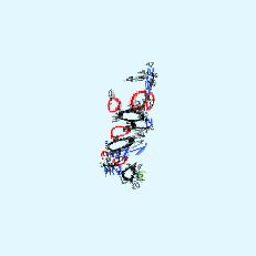 COc1cc2c(Oc3ccc(NC(=O)C4(C(=O)Nc5ccc(F)cc5)CC4)cc3)ccnc2cc1OC(=O)N1CCN(C)C[C@H]1C